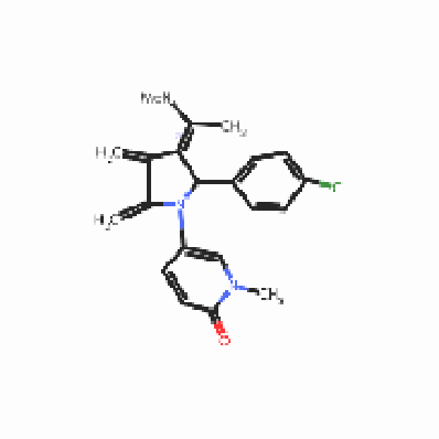 C=C1C(=C)N(c2ccc(=O)n(C)c2)C(c2ccc(Cl)cc2)/C1=C(\C)NC